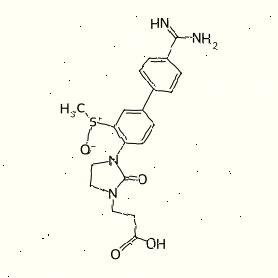 C[S+]([O-])c1cc(-c2ccc(C(=N)N)cc2)ccc1N1CCN(CCC(=O)O)C1=O